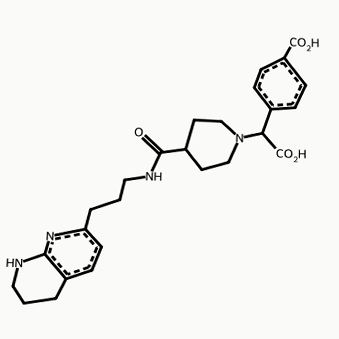 O=C(O)c1ccc(C(C(=O)O)N2CCC(C(=O)NCCCc3ccc4c(n3)NCCC4)CC2)cc1